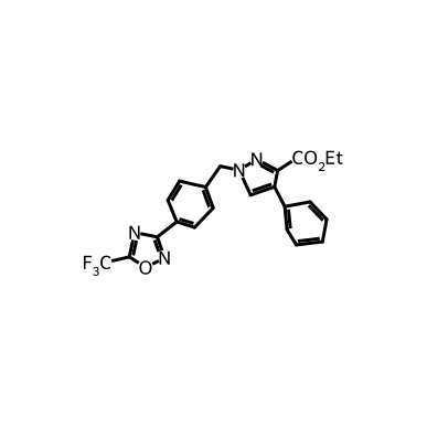 CCOC(=O)c1nn(Cc2ccc(-c3noc(C(F)(F)F)n3)cc2)cc1-c1ccccc1